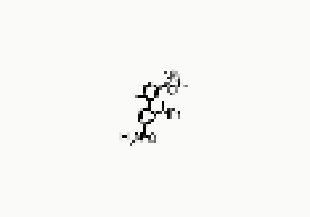 Cc1nnc(-c2ccc(C)c(-c3ccc(C(N)=O)cc3C(C)C(C)C)c2)o1